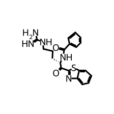 N=C(N)NCCC[C@H](NC(=O)c1ccccc1)C(=O)c1nc2ccccc2s1